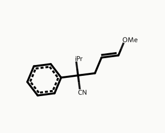 COC=CCC(C#N)(c1ccccc1)C(C)C